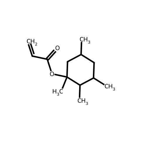 C=CC(=O)OC1(C)CC(C)CC(C)C1C